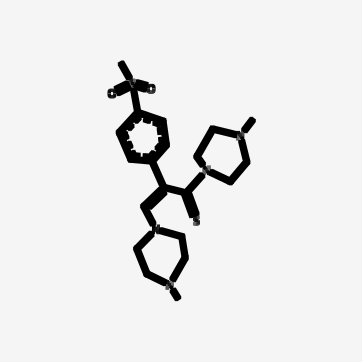 CN1CCN(C=C(C(=S)N2CCN(C)CC2)c2ccc(S(C)(=O)=O)cc2)CC1